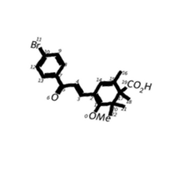 COC1=C(C=CC(=O)c2ccc(Br)cc2)C=C(C)C(C)(C(=O)O)C1(C)C